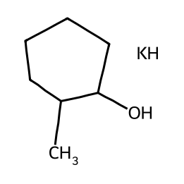 CC1CCCCC1O.[KH]